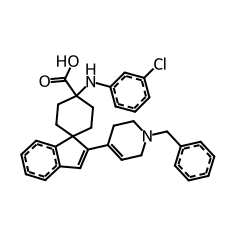 O=C(O)C1(Nc2cccc(Cl)c2)CCC2(CC1)C(C1=CCN(Cc3ccccc3)CC1)=Cc1ccccc12